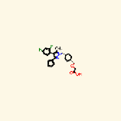 Cc1c(-c2ccc(F)cc2F)c(-c2ccccc2)nn1C[C@H]1CC[C@@H](COCC(=O)O)CC1